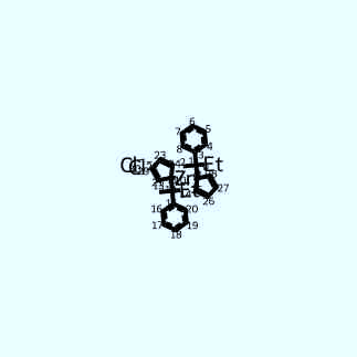 CCC(C)(c1ccccc1)[C]1([Zr+2][C]2(C(C)(CC)c3ccccc3)C=CC=C2)C=CC=C1.[Cl-].[Cl-]